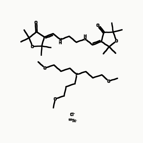 CC1(C)OC(C)(C)C(=CNCCNC=C2C(=O)C(C)(C)OC2(C)C)C1=O.COCCCP(CCCOC)CCCOC.[99Tc].[Cl-]